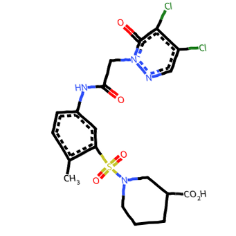 Cc1ccc(NC(=O)Cn2ncc(Cl)c(Cl)c2=O)cc1S(=O)(=O)N1CCCC(C(=O)O)C1